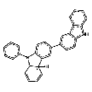 C1=CC2[C@@H](C=C1)c1cc(-c3ccc4[nH]c5ccccc5c4c3)ccc1N2c1ccccc1